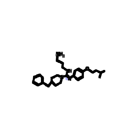 CC(C)CCOc1ccc(/N=C(\NCCCN)N2CCC(Cc3ccccc3)CC2)cc1